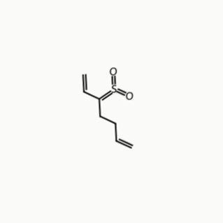 C=CCCC(C=C)=S(=O)=O